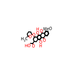 COc1cccc2c1C(=O)c1c(O)c3c(c(O)c1C2=O)CC(C(=O)CO)C[C@@H]3OC1CCC[C@H](C)O1